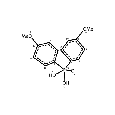 COc1ccc(P(O)(O)(O)c2ccc(OC)cc2)cc1